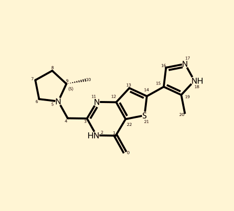 C=C1NC(CN2CCC[C@@H]2C)=Nc2cc(-c3cn[nH]c3C)sc21